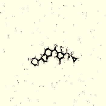 O=C(c1ccc2nc(C3CNCCO3)cnc2c1)c1c(F)c(F)cc(NS(=O)(=O)C2CC2)c1F